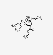 CC=N[C@@H]1CC(C(=O)OCC)=C[C@@H](OC(CC)CC)[C@H]1O